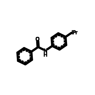 CC(C)c1ccc(NC(=O)c2ccccc2)cc1